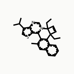 CCC12C=CC1(CC)[n+]1cnc3c(C(C)C)csc3c1-c1c(C)cc3ccccc3c12